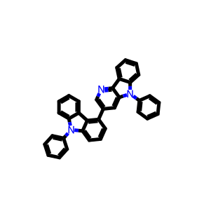 c1ccc(-n2c3ccccc3c3ncc(-c4cccc5c4c4ccccc4n5-c4ccccc4)cc32)cc1